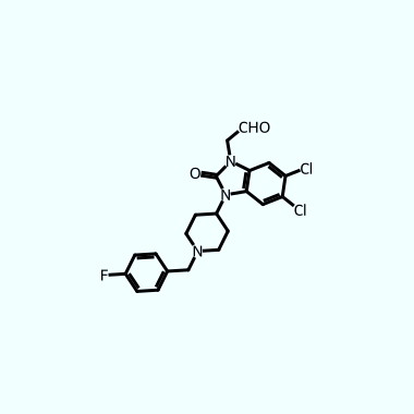 O=CCn1c(=O)n(C2CCN(Cc3ccc(F)cc3)CC2)c2cc(Cl)c(Cl)cc21